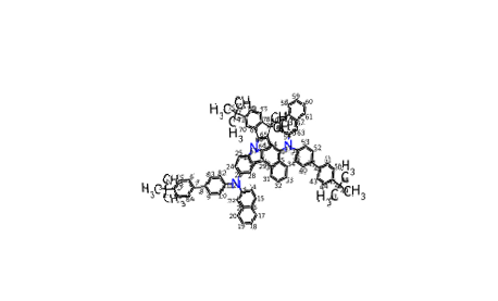 CC(C)(C)c1ccc(-c2ccc(N(c3ccc4ccccc4c3)c3ccc4c(c3)c3c5ccccc5c(N(c5ccc(-c6ccc(C(C)(C)C)cc6)cc5)c5ccc6ccccc6c5)c5c6c(n4c53)-c3cc(C(C)(C)C)ccc3C6(C)C)cc2)cc1